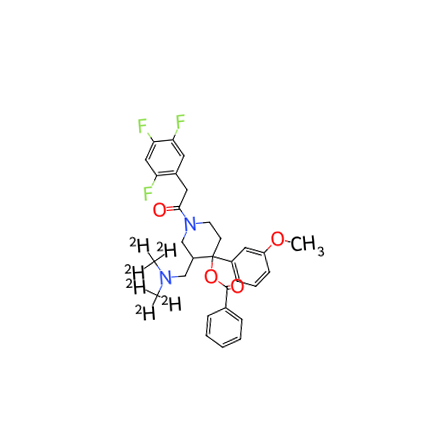 [2H]C([2H])([2H])N(CC1CN(C(=O)Cc2cc(F)c(F)cc2F)CCC1(OC(=O)c1ccccc1)c1cccc(OC)c1)C([2H])([2H])[2H]